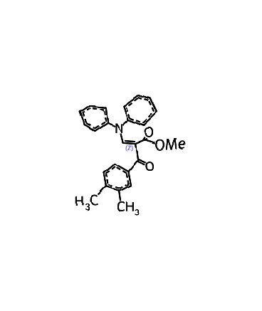 COC(=O)/C(=C\N(c1ccccc1)c1ccccc1)C(=O)c1ccc(C)c(C)c1